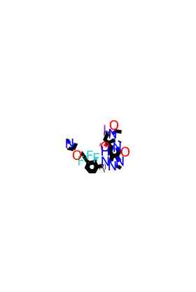 COC1(c2cc3c(N[C@H](C)c4cccc(C(F)(F)COC5CN(C)C5)c4F)nc(C)nc3c(=O)n2C)C[C@@H](I)N(C(C)=O)C1